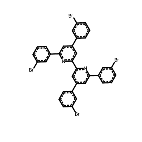 Brc1cccc(-c2cc(-c3cccc(Br)c3)nc(-c3cc(-c4cccc(Br)c4)cc(-c4cccc(Br)c4)n3)c2)c1